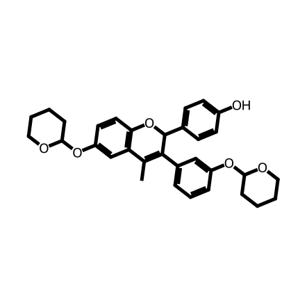 CC1=C(c2cccc(OC3CCCCO3)c2)C(c2ccc(O)cc2)Oc2ccc(OC3CCCCO3)cc21